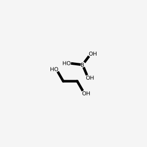 OB(O)O.OCCO